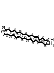 CCCCC=CCCCCCCCCCC=O.CCCCCCCCCCC=CCCCC=O